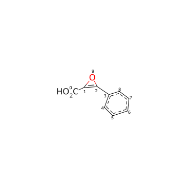 O=C(O)C1=C(c2ccccc2)O1